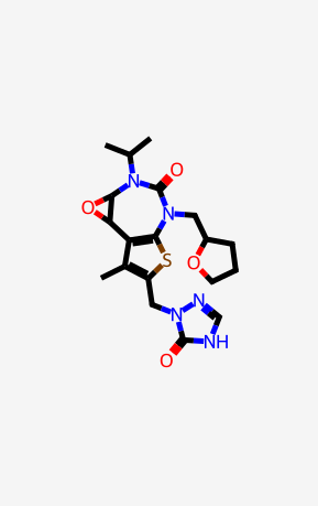 Cc1c(Cn2nc[nH]c2=O)sc2c1C1OC1N(C(C)C)C(=O)N2CC1CCCO1